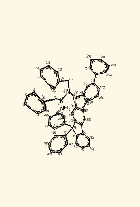 NN(Cc1ccccc1)N(Cc1ccccc1)n1c2cc(-c3ccccc3)ccc2c2cc3c(cc21)C(c1ccccc1)(c1ccccc1)c1ccccc1-3